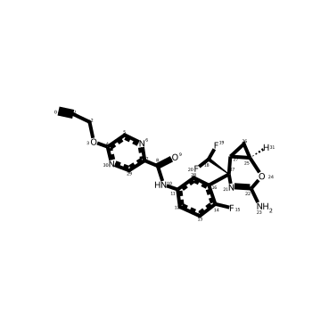 C#CCOc1cnc(C(=O)Nc2ccc(F)c([C@@]3(C(F)F)N=C(N)O[C@@H]4CC43)c2)cn1